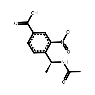 CC(=O)N[C@@H](C)c1ccc(C(=O)O)cc1[N+](=O)[O-]